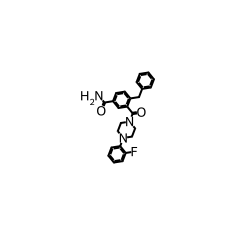 NC(=O)c1ccc(Cc2ccccc2)c(C(=O)N2CCN(c3ccccc3F)CC2)c1